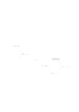 CCOC(=O)CCCNc1ccc(N)cc1